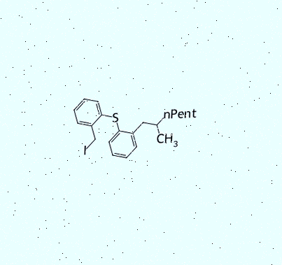 CCCCCC(C)Cc1ccccc1Sc1ccccc1CI